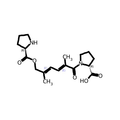 C/C(=C\C=C(/C)C(=O)N1CCC[C@@H]1C(=O)O)COC(=O)[C@H]1CCCN1